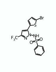 O=S(=O)(Nn1nc(C(F)(F)F)cc1-c1ccc(Br)s1)c1ccccc1